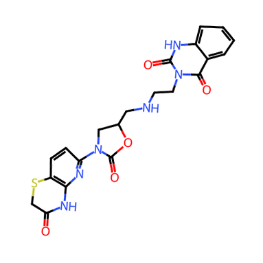 O=C1CSc2ccc(N3CC(CNCCn4c(=O)[nH]c5ccccc5c4=O)OC3=O)nc2N1